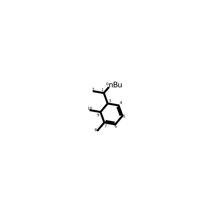 CCCCC(C)C1C=CC=C(C)C1C